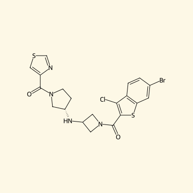 O=C(c1cscn1)N1CC[C@H](NC2CN(C(=O)c3sc4cc(Br)ccc4c3Cl)C2)C1